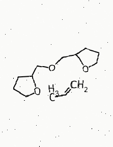 C1COC(COCC2CCCO2)C1.C=CC